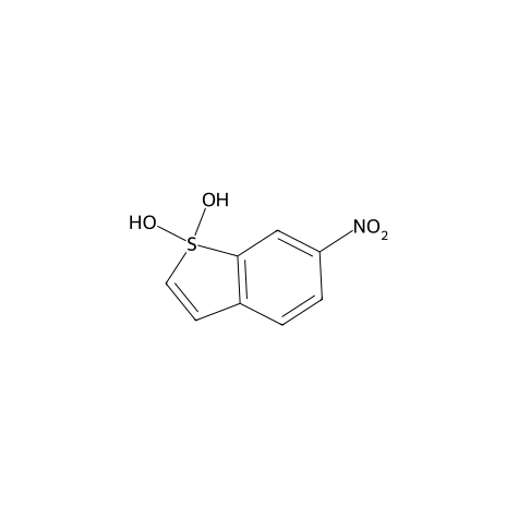 O=[N+]([O-])c1ccc2c(c1)S(O)(O)C=C2